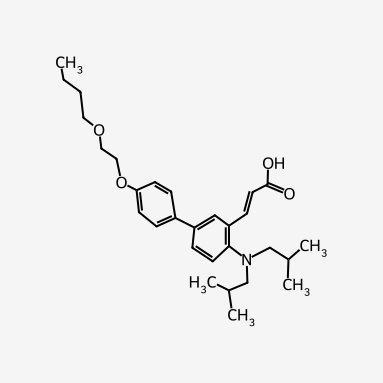 CCCCOCCOc1ccc(-c2ccc(N(CC(C)C)CC(C)C)c(C=CC(=O)O)c2)cc1